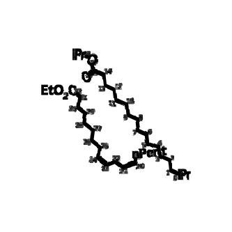 CC(C)CCCCCCCCCCCCCCC(=O)OC(C)C.CCCCC/C=C\C/C=C\CCCCCCCC(=O)OCC